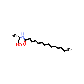 CCCC(CO)NC(=O)CCCCCCCCCCCCC(C)C